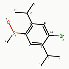 CC(C)c1cc([S+](C)[O-])c(C(C)C)cc1Br